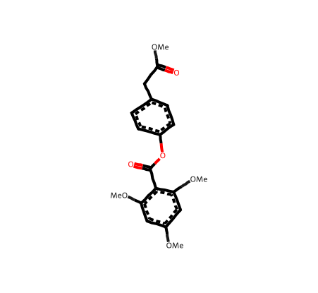 COC(=O)Cc1ccc(OC(=O)c2c(OC)cc(OC)cc2OC)cc1